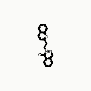 O=c1c2ccccc2cnn1CCc1ccc2ccccc2n1